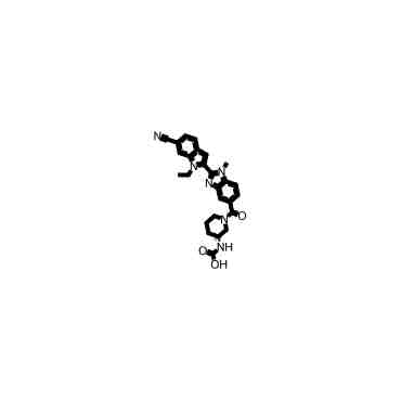 CCn1c(-c2nc3cc(C(=O)N4CCC[C@@H](NC(=O)O)C4)ccc3n2C)cc2ccc(C#N)cc21